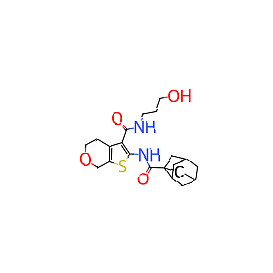 O=C(NCCCO)c1c(NC(=O)C23CC4CC(CC2C4)C3)sc2c1CCOC2